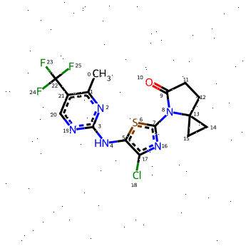 Cc1nc(Nc2sc(N3C(=O)CCC34CC4)nc2Cl)ncc1C(F)(F)F